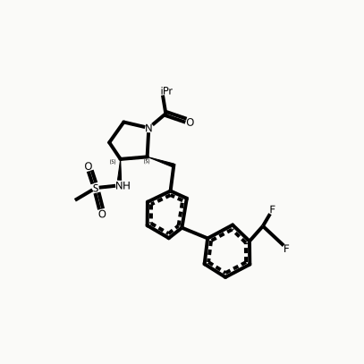 CC(C)C(=O)N1CC[C@H](NS(C)(=O)=O)[C@@H]1Cc1cccc(-c2cccc(C(F)F)c2)c1